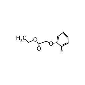 CCOC(=O)COc1c[c]ccc1F